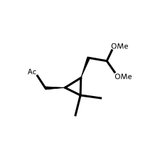 COC(C[C@@H]1[C@H](CC(C)=O)C1(C)C)OC